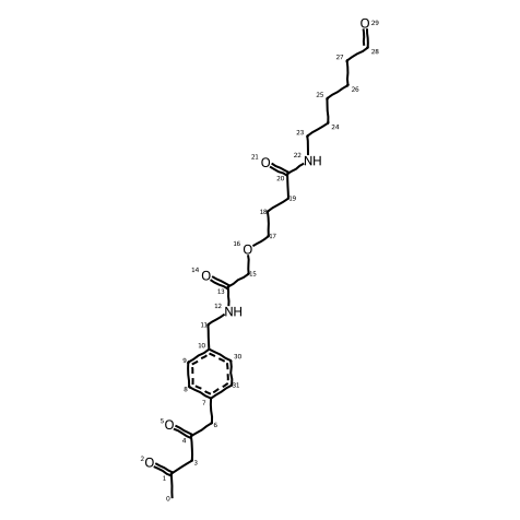 CC(=O)CC(=O)Cc1ccc(CNC(=O)COCCCC(=O)NCCCCCC=O)cc1